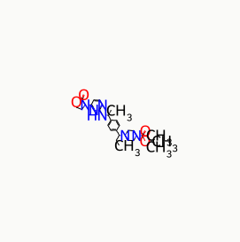 CCC(c1ccc([C@H](C)Nc2nccc(N3CCOC3=O)n2)cc1)N1CCN(C(=O)OC(C)(C)C)CC1